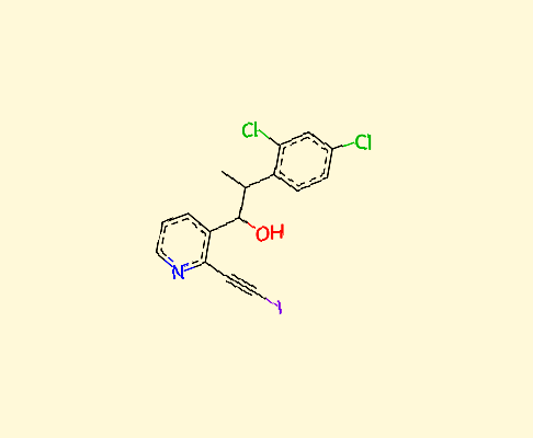 CC(c1ccc(Cl)cc1Cl)C(O)c1cccnc1C#CI